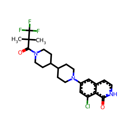 CC(C)(C(=O)N1CCC(C2CCN(c3cc(Cl)c4c(=O)[nH]ccc4c3)CC2)CC1)C(F)(F)F